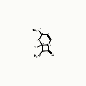 NC1C(=O)N2C=CC(C(=O)O)S[C@@H]12